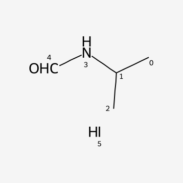 CC(C)NC=O.I